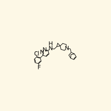 Fc1ccc(Cl)c(-c2ccc(NCC3CC34CCN(CC3CC5C=CC3C5)CC4)nn2)c1